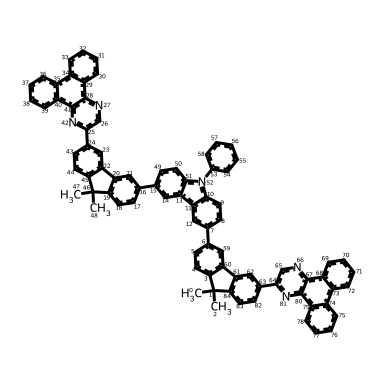 CC1(C)c2ccc(-c3ccc4c(c3)c3cc(-c5ccc6c(c5)-c5cc(-c7cnc8c9ccccc9c9ccccc9c8n7)ccc5C6(C)C)ccc3n4-c3ccccc3)cc2-c2cc(-c3cnc4c5ccccc5c5ccccc5c4n3)ccc21